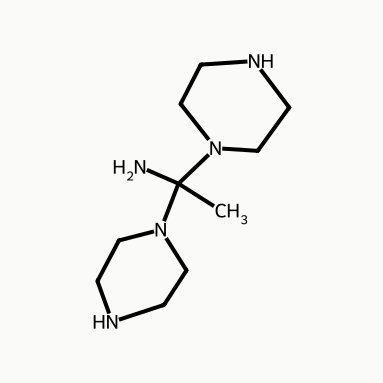 CC(N)(N1CCNCC1)N1CCNCC1